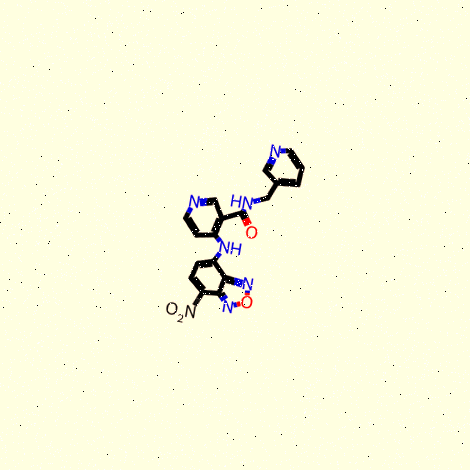 O=C(NCc1cccnc1)c1cnccc1Nc1ccc([N+](=O)[O-])c2nonc12